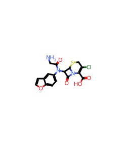 NCC(=O)N(c1ccc2occc2c1)C1C(=O)N2C(C(=O)O)=C(Cl)CSC12